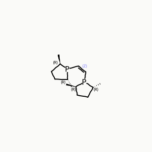 C[C@@H]1CC[C@@H](C)P1/C=C\P1[C@H](C)CC[C@H]1C